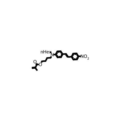 C=C(C)C(=O)OCCCCN(CCCCCC)c1ccc(C=Cc2ccc([N+](=O)[O-])cc2)cc1